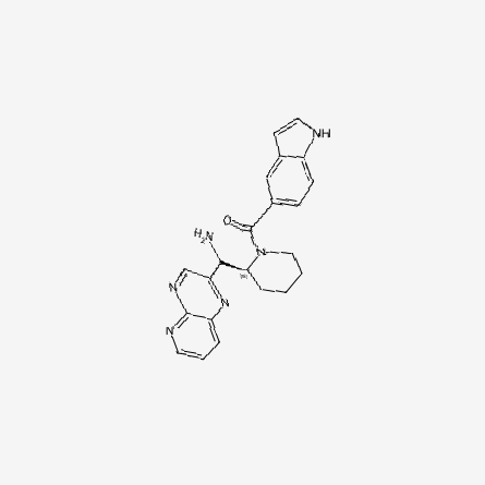 NC(c1cnc2ncccc2n1)[C@@H]1CCCCN1C(=O)c1ccc2[nH]ccc2c1